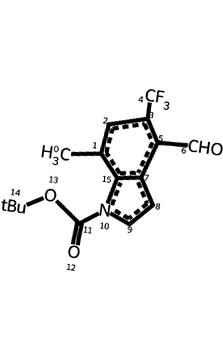 Cc1cc(C(F)(F)F)c(C=O)c2ccn(C(=O)OC(C)(C)C)c12